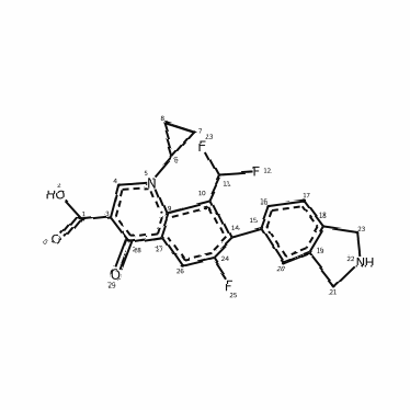 O=C(O)c1cn(C2CC2)c2c(C(F)F)c(-c3ccc4c(c3)CNC4)c(F)cc2c1=O